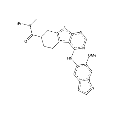 COc1cn2nccc2cc1Nc1ncnc2sc3c(c12)CCC(C(=O)N(C)C(C)C)C3